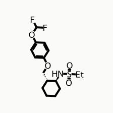 CCS(=O)(=O)N[C@H]1CCCC[C@@H]1COc1ccc(OC(F)F)cc1